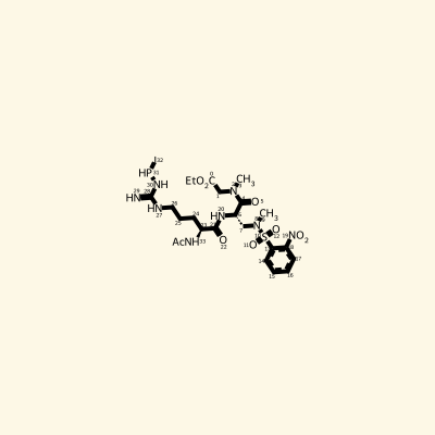 CCOC(=O)CN(C)C(=O)[C@H](CN(C)S(=O)(=O)c1ccccc1[N+](=O)[O-])NC(=O)[C@H](CCCNC(=N)NPI)NC(C)=O